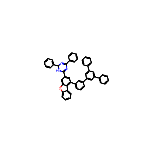 c1ccc(C2=NC(c3ccccc3)NC(c3cc(-c4cccc(-c5cc(-c6ccccc6)cc(-c6ccccc6)c5)c4)c4c(c3)oc3ccccc34)=N2)cc1